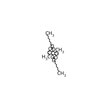 CCCCCCCCOC(=O)Oc1c2cccc(C)c2c(OC(=O)OCCCCCCCC)c2cccc(C)c12